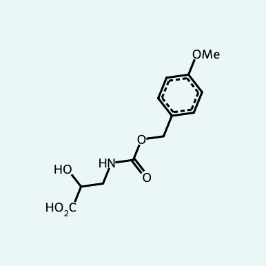 COc1ccc(COC(=O)NCC(O)C(=O)O)cc1